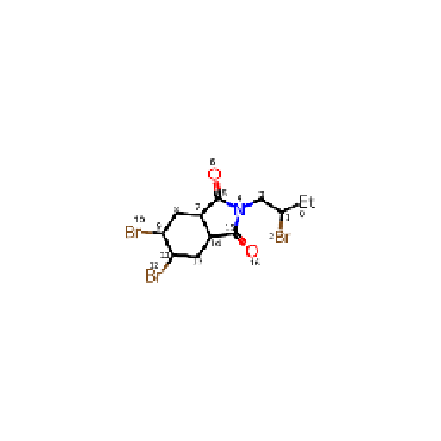 CCC(Br)CN1C(=O)C2CC(Br)C(Br)CC2C1=O